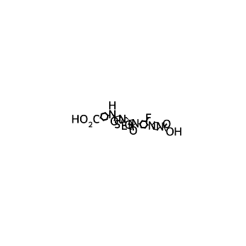 CCC(=S)N(CC(=O)Nc1ccc(C(=O)O)cc1)C[C@H]1CN(c2ccc(N3CCN(C(=O)CO)CC3)c(F)c2)C(=O)O1